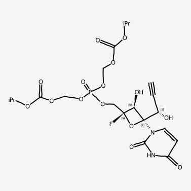 C#C[C@H](O)[C@@]1(n2ccc(=O)[nH]c2=O)O[C@](F)(COP(=O)(OCOC(=O)OC(C)C)OCOC(=O)OC(C)C)[C@H]1O